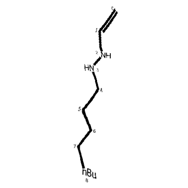 C=CNNCCCCCCCC